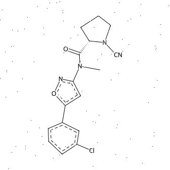 CN(C(=O)[C@@H]1CCCN1C#N)c1cc(-c2cccc(Cl)c2)on1